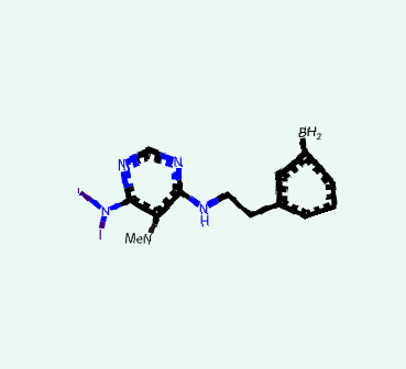 Bc1cccc(CCNc2ncnc(N(I)I)c2NC)c1